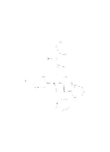 COC(=O)C(F)C(=O)CCC(O[Si](c1ccccc1)(c1ccccc1)C(C)(C)C)c1ccc(F)cc1